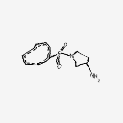 NC1CCN(S(=O)(=O)c2ccccc2)C1